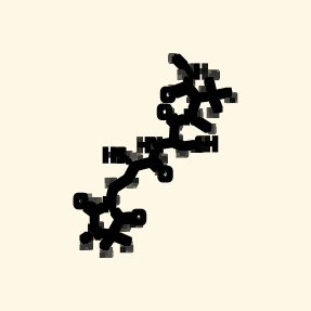 CNC(=O)C(N(C)C(=O)C(CS)NC(=O)[C@@H](S)CCN1C(=O)N(C)C(C)(C)C1=O)C(C)(C)C